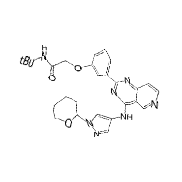 CC(C)(C)NC(=O)COc1cccc(-c2nc(Nc3cnn(C4CCCCO4)c3)c3cnccc3n2)c1